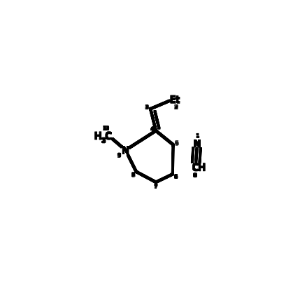 C#N.CCC=C1CCCCN1C